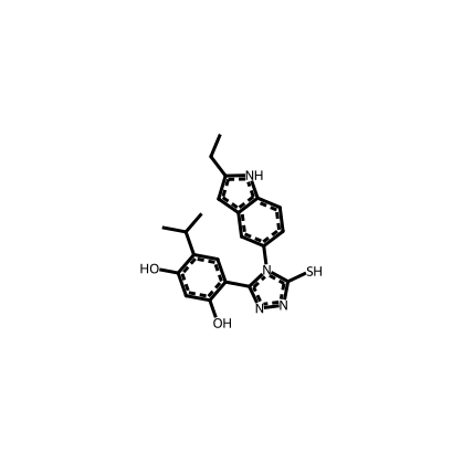 CCc1cc2cc(-n3c(S)nnc3-c3cc(C(C)C)c(O)cc3O)ccc2[nH]1